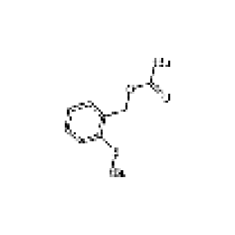 CC(C)(C)Sc1ccccc1COC(=O)C(C)(C)C